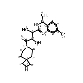 CC(NC(=O)C(O)C(O)C(=O)N1CCC2(CC1)CNC2)c1ccc(Br)cc1